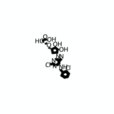 O=P(O)(O)COC[C@H]1C[C@@H](n2ncc3c(NCc4ccccc4Cl)nc(Cl)nc32)[C@H](O)[C@H]1O